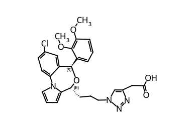 COc1cccc([C@H]2O[C@H](CCCn3cc(CC(=O)O)nn3)c3cccn3-c3ccc(Cl)cc32)c1OC